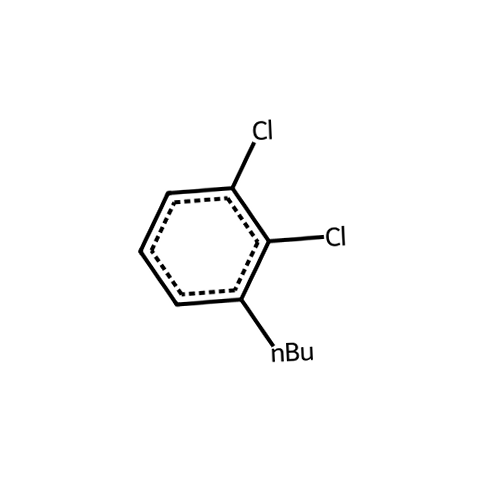 [CH2]CCCc1cccc(Cl)c1Cl